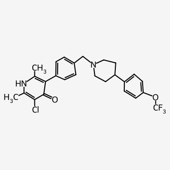 Cc1[nH]c(C)c(-c2ccc(CN3CCC(c4ccc(OC(F)(F)F)cc4)CC3)cc2)c(=O)c1Cl